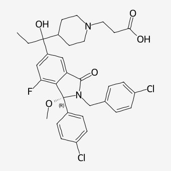 CCC(O)(c1cc(F)c2c(c1)C(=O)N(Cc1ccc(Cl)cc1)[C@@]2(OC)c1ccc(Cl)cc1)C1CCN(CCC(=O)O)CC1